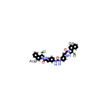 CC(=O)Oc1cc2c(c3ccccc13)[C@H](CCl)CN2C(=O)c1cc2cc(NC(=O)Nc3ccc4[nH]c(C(=O)N5C[C@@H](CCl)c6c5cc(OC(C)=O)c5ccccc65)cc4c3)ccc2[nH]1